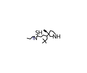 C#CC1(C(CCC(S)/N=C/CC)CC(C)(C)C)CCCNC1